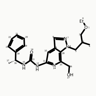 CCOCC(C)Cn1ncc2cc(NC(=O)N[C@H](C)c3ccccc3)nc(CO)c21